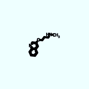 CNCCCOc1cnc2ccccc2c1